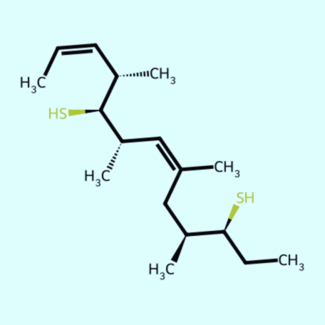 C/C=C\[C@H](C)[C@H](S)[C@@H](C)/C=C(/C)C[C@H](C)[C@@H](S)CC